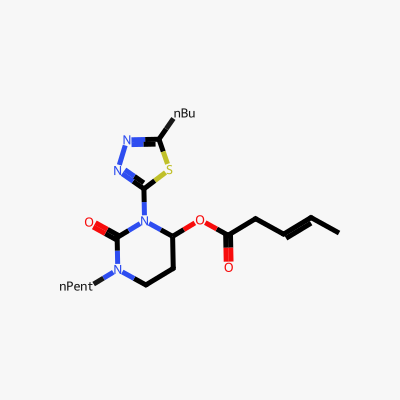 CC=CCC(=O)OC1CCN(CCCCC)C(=O)N1c1nnc(CCCC)s1